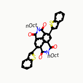 CCCCCCCCN1C(=O)c2cc(-c3cc4ccccc4s3)c3c4c(cc(-c5cc6ccccc6s5)c(c24)C1=O)C(=O)N(CCCCCCCC)C3=O